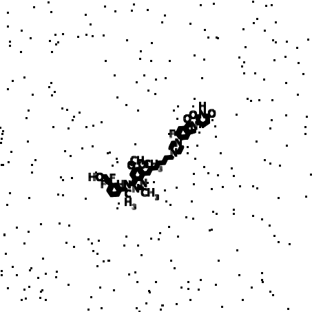 COc1cc2c(N[C@H](C)c3cccc(C(F)(F)CO)c3)nc(C)nc2c(CCCCCCCN2CCN(c3cc4c(cc3F)C(=O)N(C3CCC(=O)NC3=O)C4)CC2)c1OC